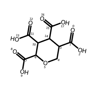 O=C(O)C1COC(C(=O)O)C(C(=O)O)C1C(=O)O